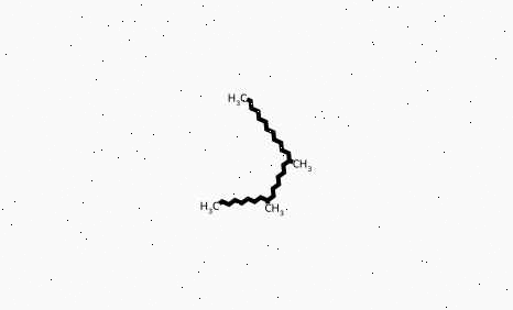 CCCCCCCCCCCCC(C)CCCCCCC(C)CCCCCCCC